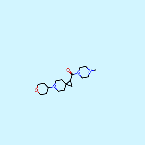 CN1CCN(C(=O)C2CC23CCN(C2CCOCC2)CC3)CC1